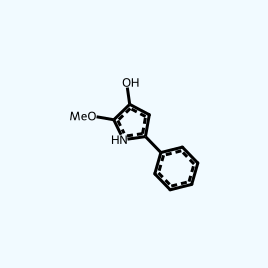 COc1[nH]c(-c2ccccc2)cc1O